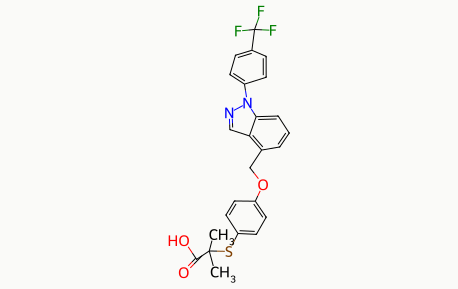 CC(C)(Sc1ccc(OCc2cccc3c2cnn3-c2ccc(C(F)(F)F)cc2)cc1)C(=O)O